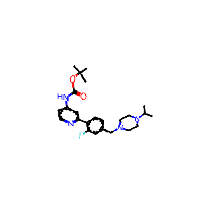 CC(C)N1CCN(Cc2ccc(-c3cc(NC(=O)OC(C)(C)C)ccn3)c(F)c2)CC1